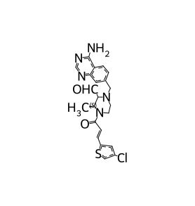 C[C@H]1C(C=O)N(Cc2ccc3c(N)ncnc3c2)CCN1C(=O)C=Cc1cc(Cl)cs1